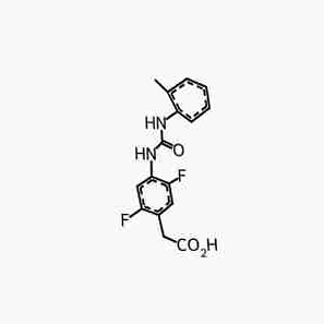 Cc1ccccc1NC(=O)Nc1cc(F)c(CC(=O)O)cc1F